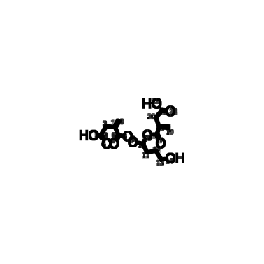 C=C(CC(=O)O)C(=O)OOC(CCCO)OC(=O)C(=C)CC(=O)O